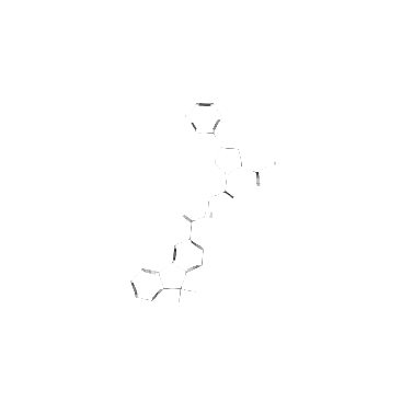 O=C(NCC(=O)N1C[C@@H](c2cccnc2)C[C@H]1C(=O)O)c1ccc2c(c1)-c1ccccc1C2(F)F